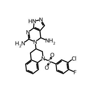 NC1=Nc2[nH]ncc2C(N)N1C1Cc2ccccc2N(S(=O)(=O)c2ccc(F)c(Cl)c2)C1